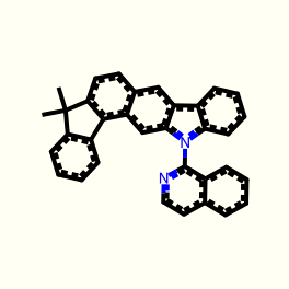 CC1(C)c2ccccc2-c2c1ccc1cc3c4ccccc4n(-c4nccc5ccccc45)c3cc21